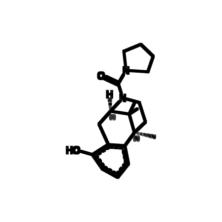 CC1(C)[C@H]2Cc3c(O)cccc3[C@]1(C)CCN2C(=O)N1CCCC1